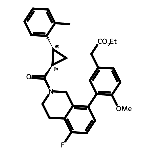 CCOC(=O)Cc1ccc(OC)c(-c2ccc(F)c3c2CN(C(=O)[C@@H]2C[C@H]2c2ccccc2C)CC3)c1